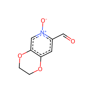 O=Cc1cc2c(c[n+]1[O-])OCCO2